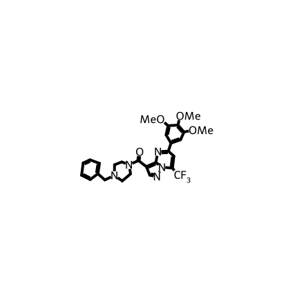 COc1cc(-c2cc(C(F)(F)F)n3ncc(C(=O)N4CCN(Cc5ccccc5)CC4)c3n2)cc(OC)c1OC